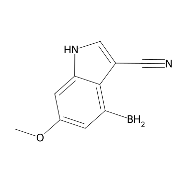 Bc1cc(OC)cc2[nH]cc(C#N)c12